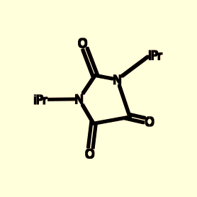 CC(C)N1C(=O)C(=O)N(C(C)C)C1=O